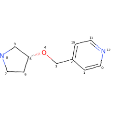 c1cc(CO[C@@H]2CCNC2)ccn1